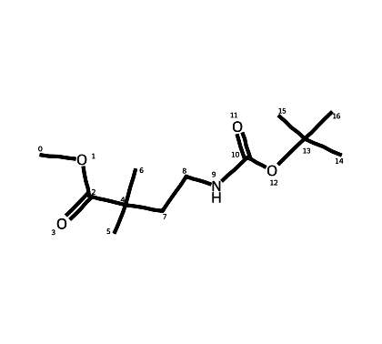 COC(=O)C(C)(C)CCNC(=O)OC(C)(C)C